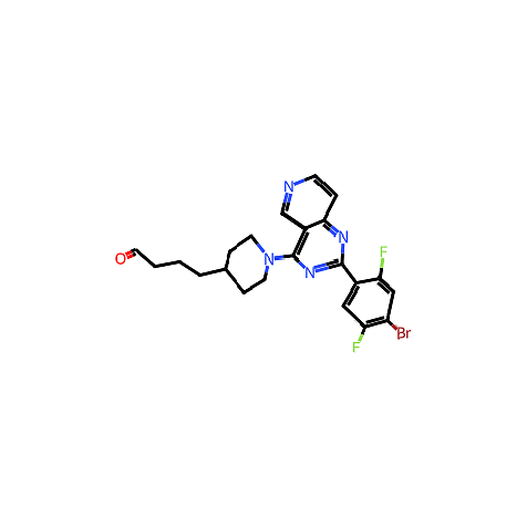 O=CCCCC1CCN(c2nc(-c3cc(F)c(Br)cc3F)nc3ccncc23)CC1